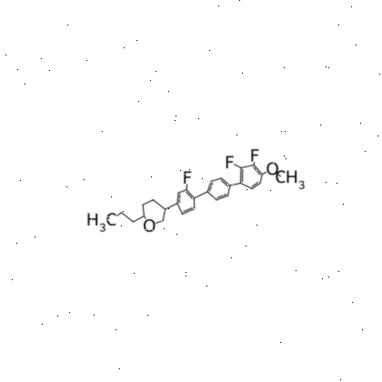 CCCC1CCC(c2ccc(-c3ccc(-c4ccc(OC)c(F)c4F)cc3)c(F)c2)CO1